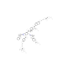 C=CC(=O)OCCCOc1ccc2cc(C(=O)Oc3ccc(NC(=O)c4cc(/C=N/Nc5nc6ccccc6s5)c(OC(=O)c5ccc(OCCCOC(=O)C(=C)F)cc5)cc4/C=N/Nc4nc5ccc(OC)nc5s4)cc3C)ccc2c1